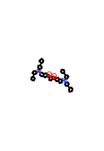 c1ccc(-c2ccc(N(c3cccc(-c4ccccc4)c3)c3ccc4cc5c(cc4c3)oc3c5ccc4c5cc6ccc(N(c7ccc(-c8ccccc8)cc7)c7cccc(-c8ccccc8)c7)cc6cc5oc43)cc2)cc1